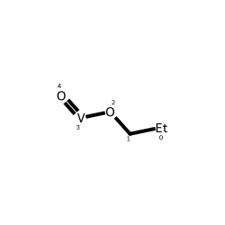 CCC[O][V]=[O]